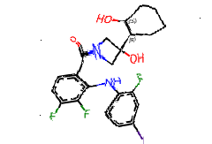 O=C(c1ccc(F)c(F)c1Nc1ccc(I)cc1F)N1CC(O)([C@@H]2CCCC[C@@H]2O)C1